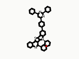 c1ccc(-c2cc(-c3ccc(-c4ccc5c(c4)c4sc6c7ccccc7nc(-c7ccccc7)c6c4n5-c4ccccc4)cc3)nc(-c3ccccc3)n2)cc1